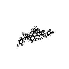 CCN(c1cn2nc(-c3ccc(F)cc3)c(C(=O)NC)c2cc1-c1cc(C(=O)NC2(c3ccc(F)cc3)CC2)ccc1C)S(C)(=O)=O